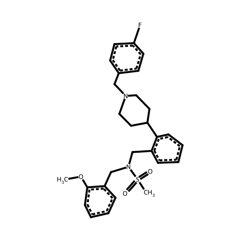 COc1ccccc1CN(Cc1ccccc1C1CCN(Cc2ccc(F)cc2)CC1)S(C)(=O)=O